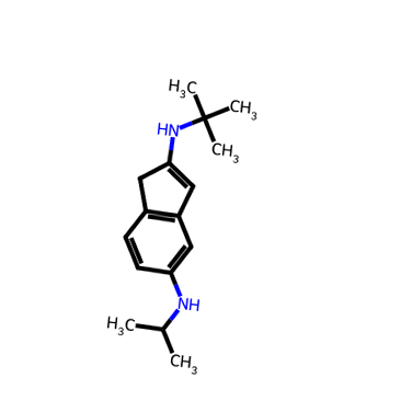 CC(C)Nc1ccc2c(c1)C=C(NC(C)(C)C)C2